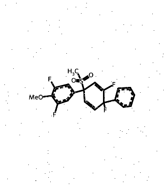 COc1c(F)cc(C2(S(C)(=O)=O)C=CC(F)(c3ccccc3)C(F)=C2)cc1F